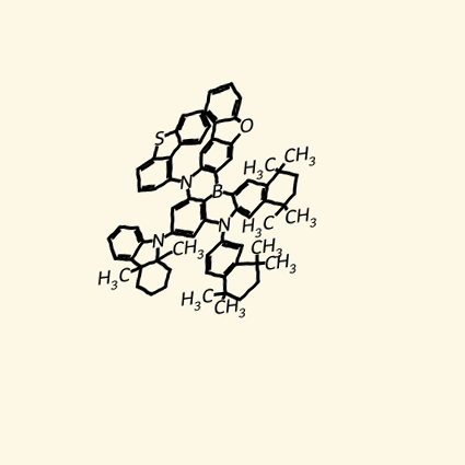 CC1(C)CCC(C)(C)c2cc(N3c4cc5c(cc4B4c6cc7oc8ccccc8c7cc6N(c6cccc7sc8ccccc8c67)c6cc(N7c8ccccc8C8(C)CCCCC78C)cc3c64)C(C)(C)CCC5(C)C)ccc21